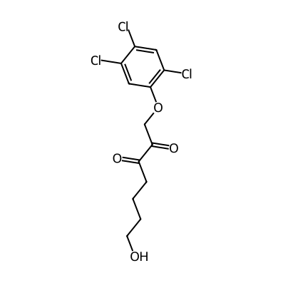 O=C(CCCCO)C(=O)COc1cc(Cl)c(Cl)cc1Cl